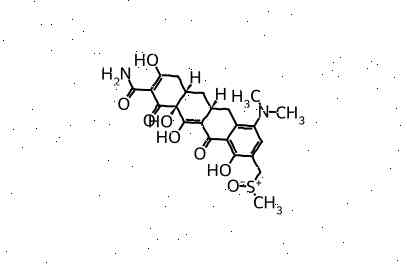 CN(C)c1cc(C[S+](C)[O-])c(O)c2c1C[C@H]1C[C@H]3CC(O)=C(C(N)=O)C(=O)[C@@]3(O)C(O)=C1C2=O